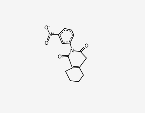 O=C1CC2=C(CCCC2)C(=O)N1c1cccc([N+](=O)[O-])c1